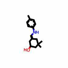 Cc1ccc(N/C=C2/CC(O)CC(C)(C)C2)cc1